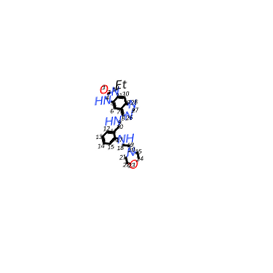 CCn1c(=O)[nH]c2cc3c(NCc4ccccc4NCCN4CCOCC4)ncnc3cc21